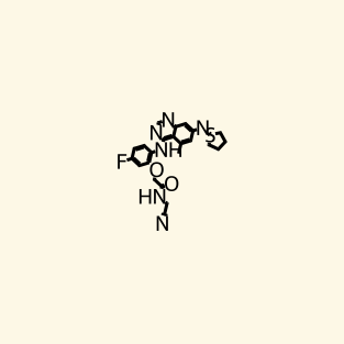 Cc1cc(N=S2CCCC2)cc2ncnc(Nc3ccc(F)cc3OCC(=O)NCC#N)c12